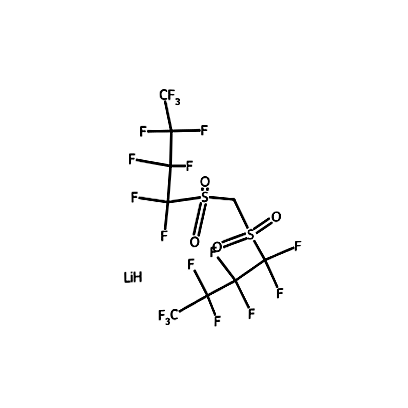 O=S(=O)(CS(=O)(=O)C(F)(F)C(F)(F)C(F)(F)C(F)(F)F)C(F)(F)C(F)(F)C(F)(F)C(F)(F)F.[LiH]